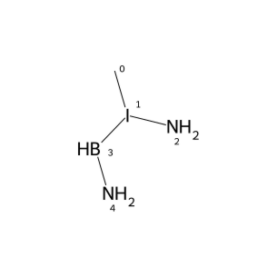 CI(N)BN